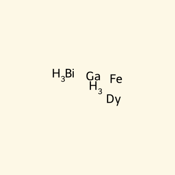 [BiH3].[Dy].[Fe].[GaH3]